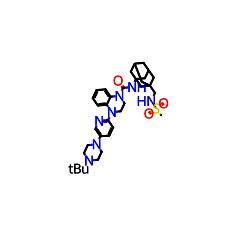 CC(C)(C)N1CCN(c2ccc(N3CCN(C(=O)NC45CC6CC(CC(CNS(C)(=O)=O)(C6)C4)C5)c4ccccc43)nc2)CC1